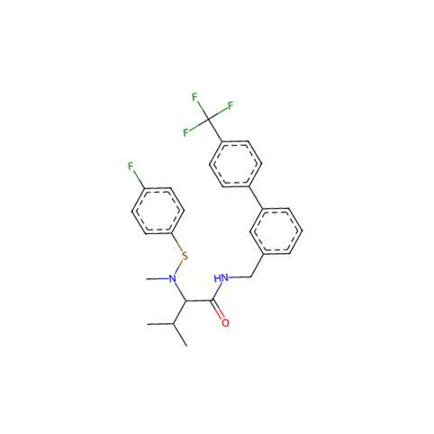 CC(C)C(C(=O)NCc1cccc(-c2ccc(C(F)(F)F)cc2)c1)N(C)Sc1ccc(F)cc1